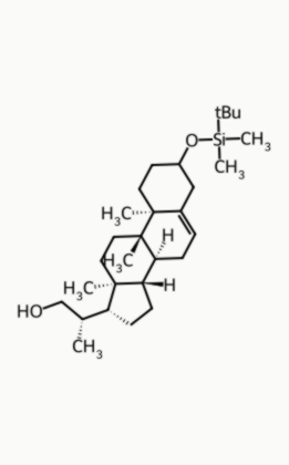 C[C@H](CO)[C@H]1CC[C@H]2[C@@H]3CC=C4CC(O[Si](C)(C)C(C)(C)C)CC[C@]4(C)[C@@]3(C)CC[C@]12C